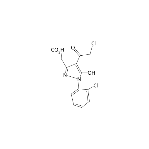 O=C(O)Cc1nn(-c2ccccc2Cl)c(O)c1C(=O)CCl